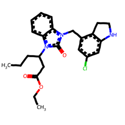 CCCC(CC(=O)OCC)n1c(=O)n(Cc2cc(Cl)cc3c2CCN3)c2ccccc21